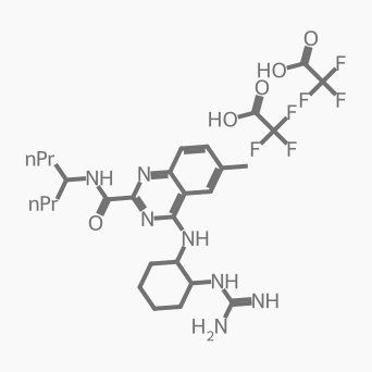 CCCC(CCC)NC(=O)c1nc(NC2CCCCC2NC(=N)N)c2cc(C)ccc2n1.O=C(O)C(F)(F)F.O=C(O)C(F)(F)F